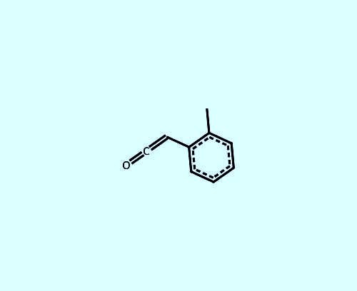 Cc1ccccc1C=C=O